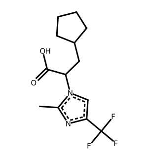 Cc1nc(C(F)(F)F)cn1C(CC1CCCC1)C(=O)O